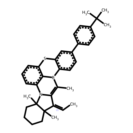 C/C=C1\C2=C(C)B3c4ccc(-c5ccc(C(C)(C)C)cc5)cc4Sc4cccc(c43)N2C2(C)CCCCC12C